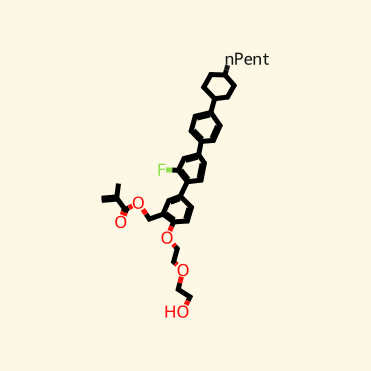 C=C(C)C(=O)OCc1cc(-c2ccc(-c3ccc(C4CCC(CCCCC)CC4)cc3)cc2F)ccc1OCCOCCO